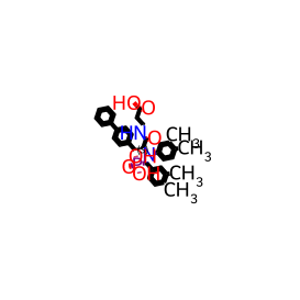 Cc1ccc(C(N(c2ccc(C)c(C)c2)[C@@H](Cc2ccc(-c3ccccc3)cc2)C(=O)NCCC(=O)O)P(=O)(O)O)cc1C